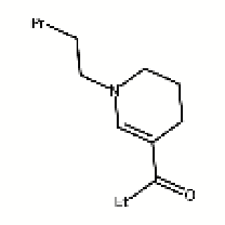 CCC(=O)C1=CN(CCC(C)C)CCC1